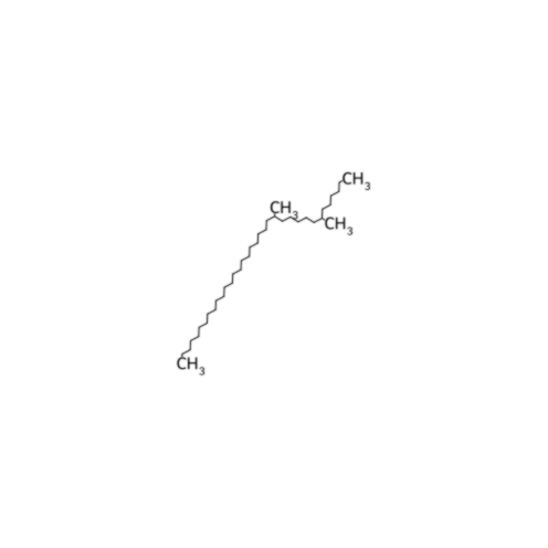 CCCCCCCCCCCCCCCCCCCCCCC(C)CCCCCC(C)CCCCCC